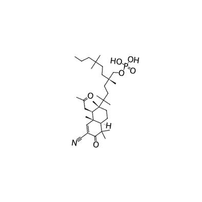 CCCC(C)(C)CC[C@@](C)(CCC(C)(C)[C@]1(C)CC[C@H]2C(C)(C)C(=O)C(C#N)=C[C@]2(C)[C@H]1CC(C)=O)COP(=O)(O)O